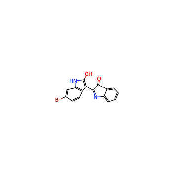 O=C1C(c2c(O)[nH]c3cc(Br)ccc23)=Nc2ccccc21